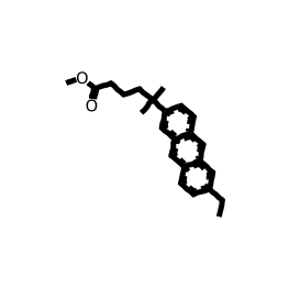 CCc1ccc2cc3cc(C(C)(C)CCCC(=O)OC)ccc3cc2c1